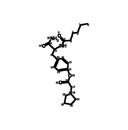 CCCCCC(=O)NC(Cc1ccc(OC(=O)CN2CCCC2)cc1)C(N)=O